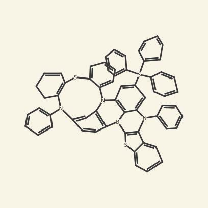 C1=CC2=C(CC1)N(c1ccccc1)c1ccc3c(c1)N(c1ccccc1S2)c1cc(S(c2ccccc2)(c2ccccc2)c2ccccc2)cc2c1B3c1sc3ccccc3c1N2c1ccccc1